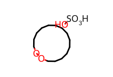 C1CCCCCCCOOCCCCCC1.O=S(=O)(O)O